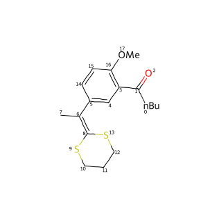 CCCCC(=O)c1cc(C(C)=C2SCCCS2)ccc1OC